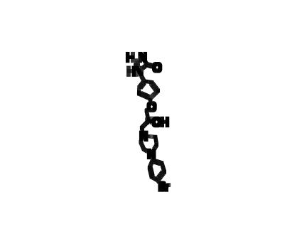 NC(=O)Nc1ccc(OC[C@@H](O)CN2CCN(c3ccc(Br)cc3)CC2)cc1